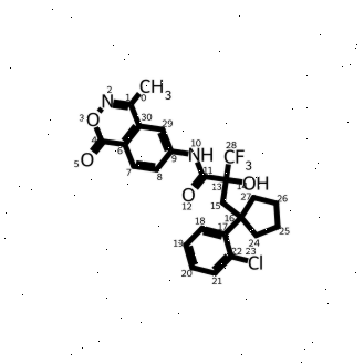 Cc1noc(=O)c2ccc(NC(=O)C(O)(CC3(c4ccccc4Cl)CCCC3)C(F)(F)F)cc12